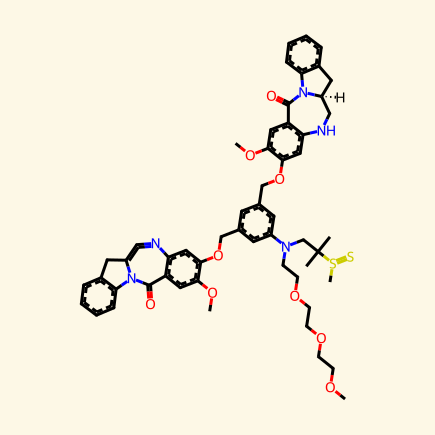 COCCOCCOCCN(CC(C)(C)S(C)=S)c1cc(COc2cc3c(cc2OC)C(=O)N2C(=C=N3)Cc3ccccc32)cc(COc2cc3c(cc2OC)C(=O)N2c4ccccc4C[C@H]2CN3)c1